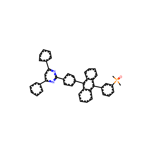 CP(C)(=O)c1cccc(-c2c3ccccc3c(-c3ccc(-c4nc(-c5ccccc5)cc(-c5ccccc5)n4)cc3)c3ccccc23)c1